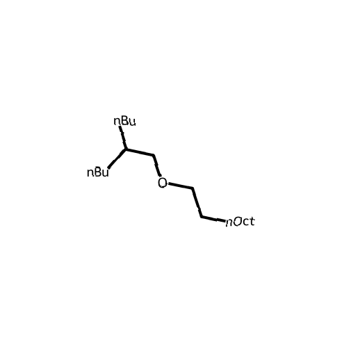 [CH2]CCCCCCCCCOCC(CCCC)CCCC